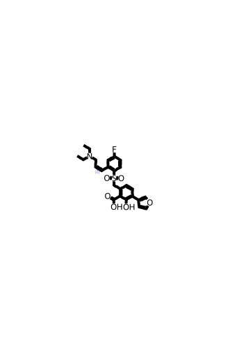 CCN(CC)C/C=C\c1cc(F)ccc1S(=O)(=O)Cc1ccc(-c2ccoc2)c(O)c1C(=O)O